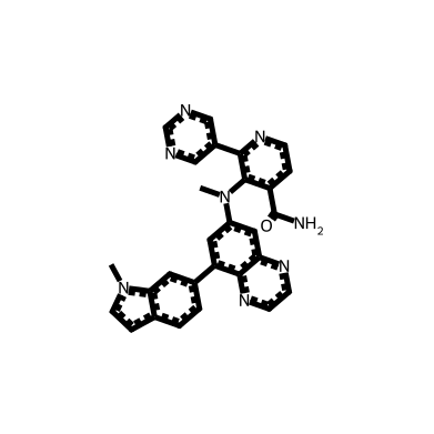 CN(c1cc(-c2ccc3ccn(C)c3c2)c2nccnc2c1)c1c(C(N)=O)ccnc1-c1cncnc1